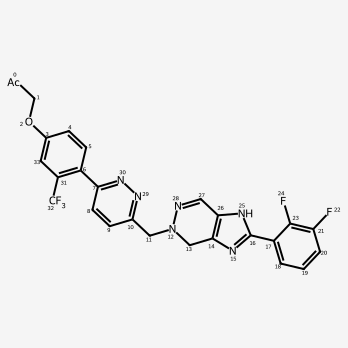 CC(=O)COc1ccc(-c2ccc(CN3Cc4nc(-c5cccc(F)c5F)[nH]c4C=N3)nn2)c(C(F)(F)F)c1